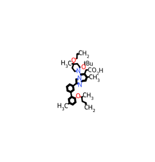 C=CCOC1(C)CCN(c2c(C(OC(C)(C)C)C(=O)O)c(C)cc3nc(-c4cccc(-c5cc(C)ccc5OC(C)CC=C)c4)cn23)CC1